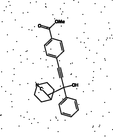 COC(=O)c1ccc(C#CC(O)(c2ccccc2)C2CN3CCC2CC3)cc1